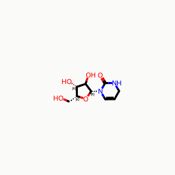 O=C1NCC=CN1[C@@H]1O[C@H](CO)[C@H](O)C1O